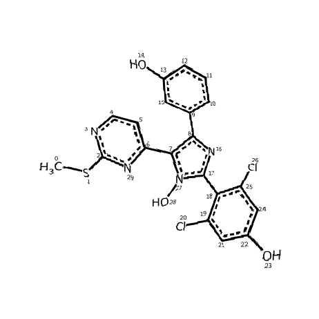 CSc1nccc(-c2c(-c3cccc(O)c3)nc(-c3c(Cl)cc(O)cc3Cl)n2O)n1